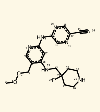 COOCc1cnc(Nc2cnc(C#N)cn2)cc1NCC1(F)CCNCC1